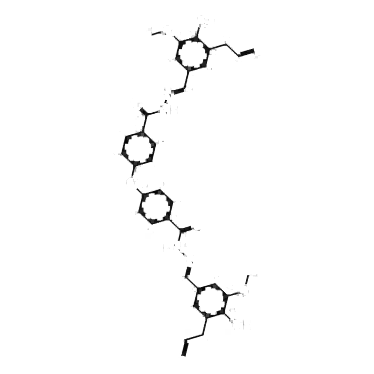 C=CCc1cc(/C=N/NC(=O)c2ccc(Oc3ccc(C(=O)N/N=C/c4cc(CC=C)c(O)c(OC)c4)cc3)cc2)cc(OC)c1O